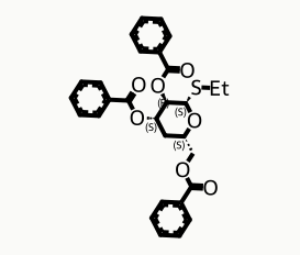 CCS[C@@H]1O[C@H](COC(=O)c2ccccc2)C[C@H](OC(=O)c2ccccc2)[C@H]1OC(=O)c1ccccc1